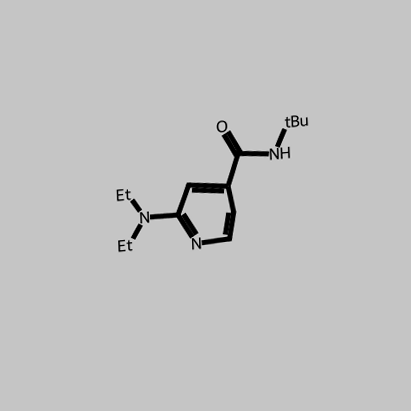 CCN(CC)c1cc(C(=O)NC(C)(C)C)ccn1